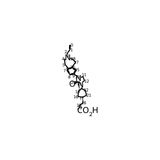 C=CCN1CCc2ccc(N3CCN([C@H]4CC[C@H](CCC(=O)O)CC4)C3=O)cc2CC1